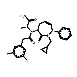 C[C@@H](C(N)=O)N(C(=O)Cc1cc(F)cc(F)c1)[C@H]1CC=C[C@@H](c2ccccc2)N(CC2CC2)C1=O